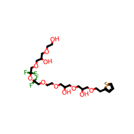 OCCOCC(O)COCC(F)(F)OC(F)(F)COCCOCC(O)COCC(O)COCCc1cccs1